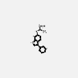 O=C(O)C(Oc1ccc2c(-c3ccccc3)coc2c1)[N+](=O)[O-]